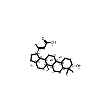 CC(=CC(=O)O)[C@@H]1CC[C@]2(C)CC[C@]3(C)C(CCC4[C@@]5(C)CC[C@H](O)C(C)(C)C5CC[C@]43C)C12